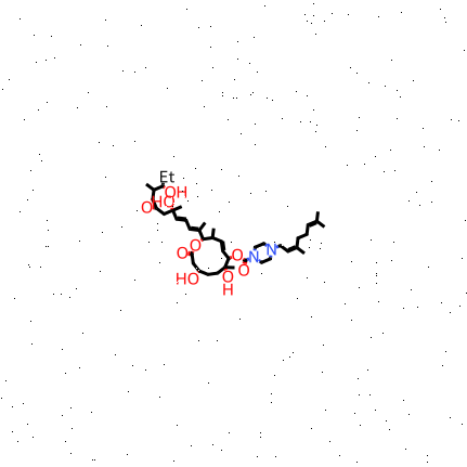 CCC(O)C(C)C1OC1CC(C)(O)/C=C/C=C(\C)C1OC(=O)CC(O)CCC(C)(O)C(OC(=O)N2CCN(CC=C(C)CCC=C(C)C)CC2)/C=C/C1C